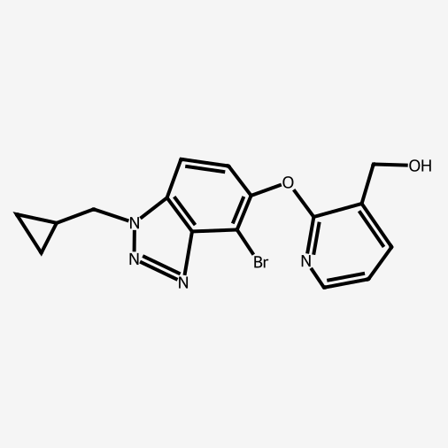 OCc1cccnc1Oc1ccc2c(nnn2CC2CC2)c1Br